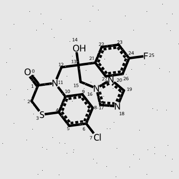 O=C1CSc2cc(Cl)ccc2N1CC(O)(Cn1cncn1)c1ccc(F)cc1